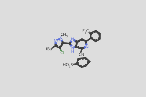 Cn1nc(C(C)(C)C)c(Cl)c1-c1nc2cc(-c3ccccc3C(F)(F)F)nc(C#N)c2[nH]1.O=S(=O)(O)c1ccccc1